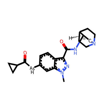 Cn1nc(C(=O)N[C@@H]2CN3CCC2CC3)c2ccc([AsH]C(=O)C3CC3)cc21